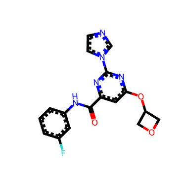 O=C(Nc1cccc(F)c1)c1cc(OC2COC2)nc(-n2ccnc2)n1